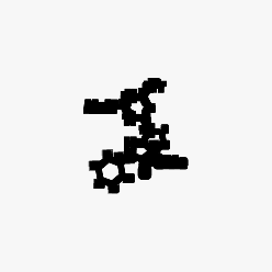 CNc1nc(C(C)C)cc(N2CC[C@@](OC)(C(=O)NC3CCCCC3)C2)n1